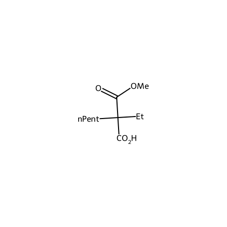 CCCCCC(CC)(C(=O)O)C(=O)OC